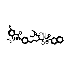 CCN(CC)C(=O)C(CCCc1ccc(NC(=O)c2cc(F)ccc2N)cc1)C(=O)NS(=O)(=O)c1ccc2ccccc2c1